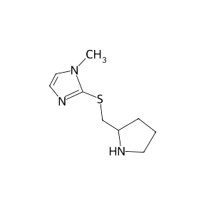 Cn1ccnc1SCC1CCCN1